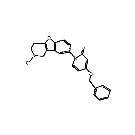 O=c1cc(OCc2ccccc2)ccn1-c1ccc2oc3c(c2c1)CN(Cl)CC3